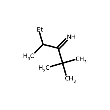 CCC(C)C(=N)C(C)(C)C